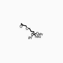 CCCC[Si](CCCOCC1CO1)(OC(C)C)OC(C)C